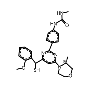 CNC(=O)Nc1ccc(-c2nc(C(S)c3ccccc3OC)cc(N3CCOC[C@@H]3C)n2)cc1